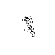 CCn1c(=O)c2[nH]c(-c3ccc(N(C)C(=O)c4ccc(Cl)nc4)nc3)nc2n(CC)c1=O